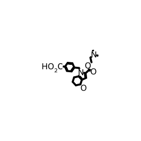 CN(C)CCOC(=O)c1cc2c(n1Cc1ccc(C(=O)O)cc1)CCCC2=O